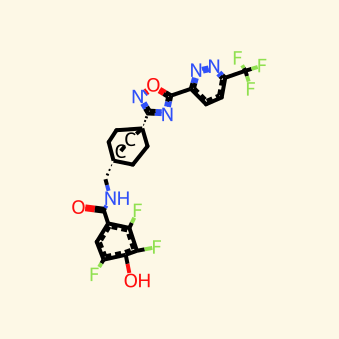 O=C(NC[C@]12CC[C@](c3noc(-c4ccc(C(F)(F)F)nn4)n3)(CC1)CC2)c1cc(F)c(O)c(F)c1F